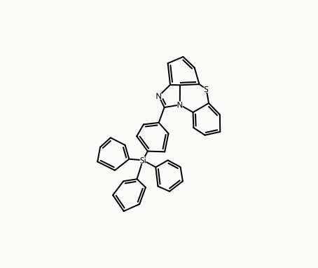 c1ccc([Si](c2ccccc2)(c2ccccc2)c2ccc(-c3nc4cccc5c4n3-c3ccccc3S5)cc2)cc1